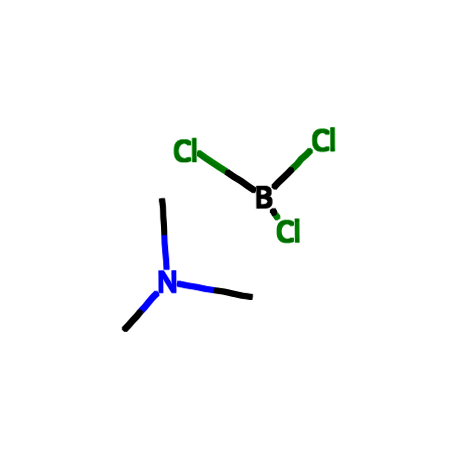 CN(C)C.ClB(Cl)Cl